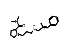 C/C(=C\c1ccccc1)CNCCCN1CCCC1C(=O)N(C)C